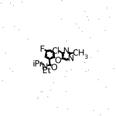 CCN(C(=O)c1cc(F)ccc1Oc1cnc(C)nc1Cl)C(C)C